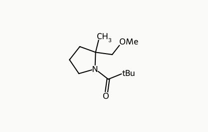 COCC1(C)CCCN1C(=O)C(C)(C)C